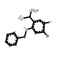 O=C(O)C(c1cc(F)c(Br)cc1OCc1ccccc1)C(F)(F)F